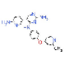 Cc1cc(Oc2ccc(Nc3nc(N)ncc3-c3ccc(N)nc3)cc2)ccn1